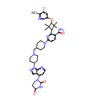 CC1(C)C(Oc2cnc(C#N)c(Cl)c2)C(C)(C)C1c1nc(N2CCC(CN3CCC(n4ncc5c(N6CCC(=O)NC6=O)ccnc54)CC3)CC2)ccc1C(N)=O